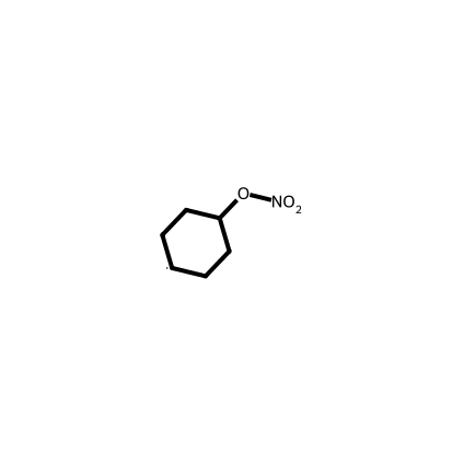 O=[N+]([O-])OC1CC[CH]CC1